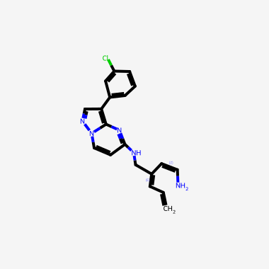 C=C/C=C(\C=C/N)CNc1ccn2ncc(-c3cccc(Cl)c3)c2n1